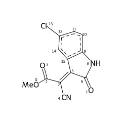 COC(=O)C(C#N)=C1C(=O)Nc2ccc(Cl)cc21